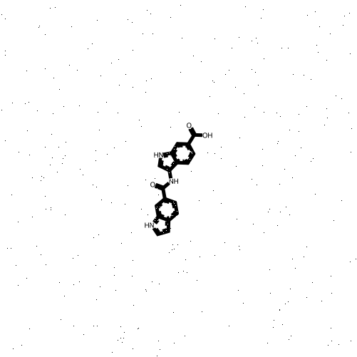 O=C(O)c1ccc2c(NC(=O)c3ccc4cc[nH]c4c3)c[nH]c2c1